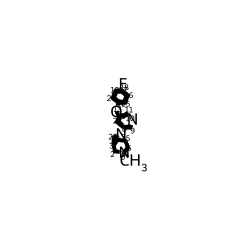 CN1CC2CC(C1)N(c1cncc(Oc3ccc(F)cc3)c1)C2